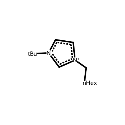 CCCCCCC[n+]1ccn(C(C)(C)C)c1